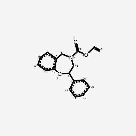 C=COC(=O)N1Cc2ccccc2OC(c2ccccc2)C1